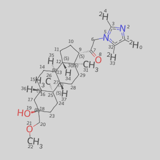 [2H]c1nc([2H])n(CC(=O)[C@H]2CC[C@H]3[C@@H]4CC[C@H]5C[C@@](O)(COC)CC[C@]5(C)[C@H]4CC[C@]23C)c1[2H]